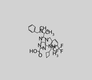 CC(c1nc2nc(C(=O)O)nc(N[C@H](C)C3CCC3)c2n1Cc1ccc(C(F)(F)F)cc1)N(C)Cc1ccccc1